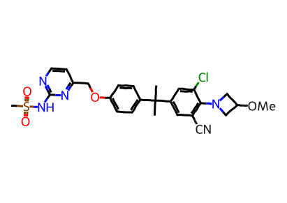 COC1CN(c2c(Cl)cc(C(C)(C)c3ccc(OCc4ccnc(NS(C)(=O)=O)n4)cc3)cc2C#N)C1